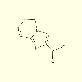 ClC(Cl)c1cn2ccncc2n1